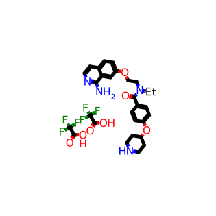 CCN(CCOc1ccc2ccnc(N)c2c1)C(=O)c1ccc(OC2CCNCC2)cc1.O=C(O)C(F)(F)F.O=C(O)C(F)(F)F